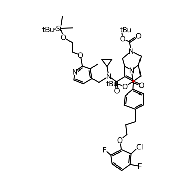 Cc1c(CN(C(=O)C2=C(c3ccc(CCCOc4c(F)ccc(F)c4Cl)cc3)CC3CN(C(=O)OC(C)(C)C)CC2N3C(=O)OC(C)(C)C)C2CC2)ccnc1OCCO[Si](C)(C)C(C)(C)C